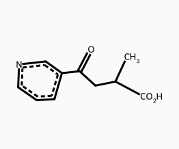 CC(CC(=O)c1cccnc1)C(=O)O